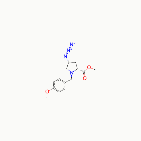 COC(=O)[C@H]1C[C@@H](N=[N+]=[N-])CN1Cc1ccc(OC)cc1